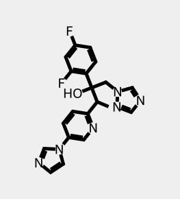 CC(c1ccc(-n2ccnc2)cn1)C(O)(Cn1cncn1)c1ccc(F)cc1F